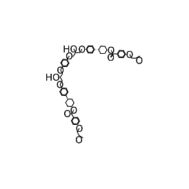 O=C(O[C@H]1CC[C@H](c2ccc(OCC(O)COc3ccc(OCC(O)COc4ccc([C@H]5CC[C@H](OC(=O)c6ccc(OCC7CO7)cc6)CC5)cc4)cc3)cc2)CC1)c1ccc(OCC2CO2)cc1